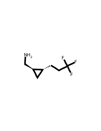 NC[C@@H]1C[C@H]1CCC(F)(F)F